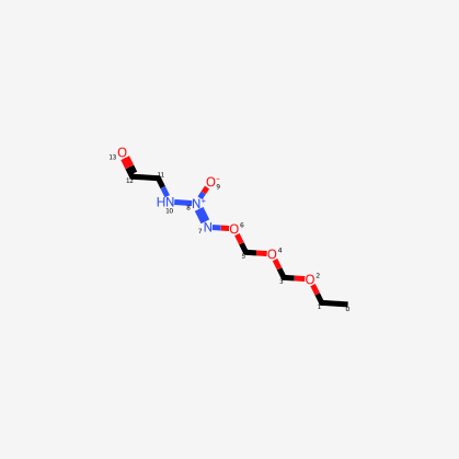 CCOCOCO/N=[N+](\[O-])NCC=O